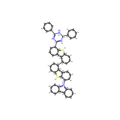 c1ccc(C2=NC(c3cccc4c3sc3cccc(-c5cccc6sc7c(-n8c9ccccc9c9ccccc98)cccc7c56)c34)=NC(c3ccccc3)N2)cc1